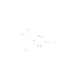 COc1cc(OC)c(CC#N)c(OC)c1